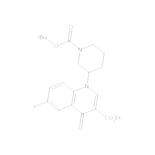 CCOC(=O)c1cn(C2CCCN(C(=O)OC(C)(C)C)C2)c2ccc(I)cc2c1=O